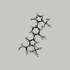 [2H]C([2H])([2H])c1nnn(C)c1-c1cnc(-c2nn(C([2H])([2H])[2H])c(C(=O)OC)c2I)c(N)c1